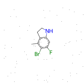 Cc1c(Br)c(F)cc2c1CCN2